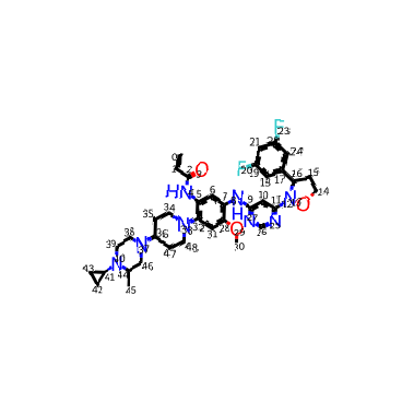 C=CC(=O)Nc1cc(Nc2cc(N3OCCC3c3cc(F)cc(F)c3)ncn2)c(OC)cc1N1CCC(N2CCN(C3CC3)C(C)C2)CC1